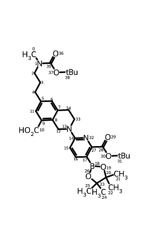 CN(CCCc1cc2c(c(C(=O)O)c1)CN(c1ccc(B3OC(C)(C)C(C)(C)O3)c(C(=O)OC(C)(C)C)n1)CC2)C(=O)OC(C)(C)C